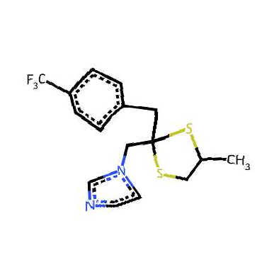 CC1CSC(Cc2ccc(C(F)(F)F)cc2)(Cn2ccnc2)S1